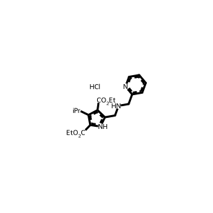 CCOC(=O)c1[nH]c(CNCc2ccccn2)c(C(=O)OCC)c1C(C)C.Cl